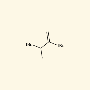 C=C(C(C)C(C)(C)C)C(C)(C)C